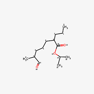 CCCC(CCCC(C)C=O)C(=O)OC(C)C